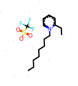 CCCCCCCC[n+]1ccccc1CC.O=S(=O)([O-])C(F)(F)F